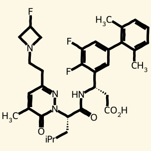 Cc1cccc(C)c1-c1cc(F)c(F)c([C@H](CC(=O)O)NC(=O)[C@H](CC(C)C)n2nc(CCN3CC(F)C3)cc(C)c2=O)c1